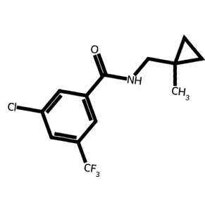 CC1(CNC(=O)c2cc(Cl)cc(C(F)(F)F)c2)CC1